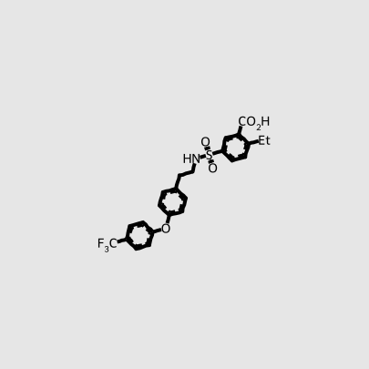 CCc1ccc(S(=O)(=O)NCCc2ccc(Oc3ccc(C(F)(F)F)cc3)cc2)cc1C(=O)O